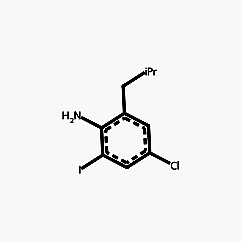 CC(C)Cc1cc(Cl)cc(I)c1N